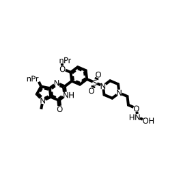 CCCOc1ccc(S(=O)(=O)N2CCN(CCONO)CC2)cc1-c1nc2c(CCC)cn(C)c2c(=O)[nH]1